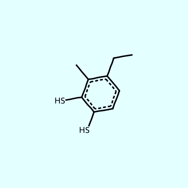 CCc1ccc(S)c(S)c1C